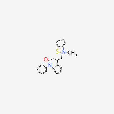 CN1c2ccccc2SC1C=C1CC(=O)N(c2ccccc2)c2ccccc21